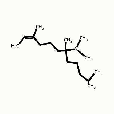 C/[C]=C(/C)CCC[C@@](C)(CCCC(C)C)N(C)C